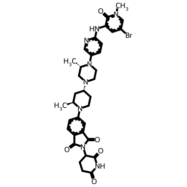 C[C@H]1C[C@H](N2CCN(c3ccc(Nc4cc(Br)cn(C)c4=O)nc3)[C@@H](C)C2)CCN1c1ccc2c(c1)C(=O)N(C1CCC(=O)NC1=O)C2=O